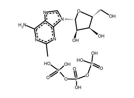 Cc1nc(N)c2ncn([C@@H]3O[C@H](CO)[C@@H](O)[C@H]3O)c2n1.O=P(O)(O)OP(=O)(O)OP(=O)(O)O